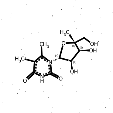 Cc1c(C)n([C@@H]2O[C@](C)(CO)[C@@H](O)[C@H]2O)c(=O)[nH]c1=O